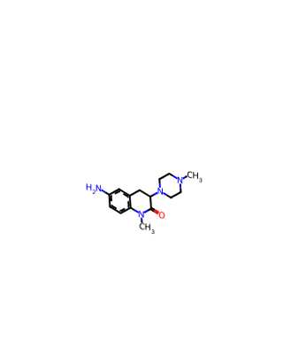 CN1CCN(C2Cc3cc(N)ccc3N(C)C2=O)CC1